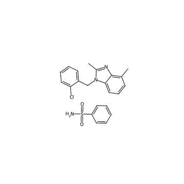 Cc1cccc2c1nc(C)n2Cc1ccccc1Cl.NS(=O)(=O)c1ccccc1